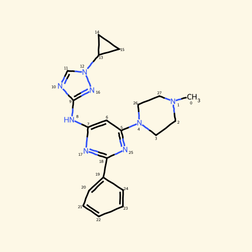 CN1CCN(c2cc(Nc3ncn(C4CC4)n3)nc(-c3ccccc3)n2)CC1